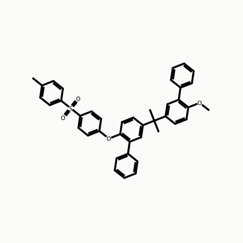 COc1ccc(C(C)(C)c2ccc(Oc3ccc(S(=O)(=O)c4ccc(C)cc4)cc3)c(-c3ccccc3)c2)cc1-c1ccccc1